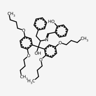 CCCCOc1ccc(OCCCC)c(C(O)(c2cc(OCCCC)ccc2OCCCC)C(Cc2ccccc2)N=Cc2ccccc2O)c1